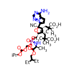 CCC(CC)COC(=O)[C@H](C)NP(=O)(OCOC(=O)OC(C)C)OC[C@@H]1O[C@@](C#N)(c2ccc3c(N)ncnn23)[C@H](CC(C)(C)C(=O)O)[C@H]1CC(C)(C)C(=O)O